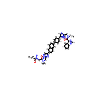 CCCN(Cc1nc(-c2ccc3cc(-c4ccc(-c5cnc(CN(CCC)C(=O)C(NCC)c6ccccc6)[nH]5)cc4)ccc3c2)c[nH]1)C(=O)CNC(=O)OC